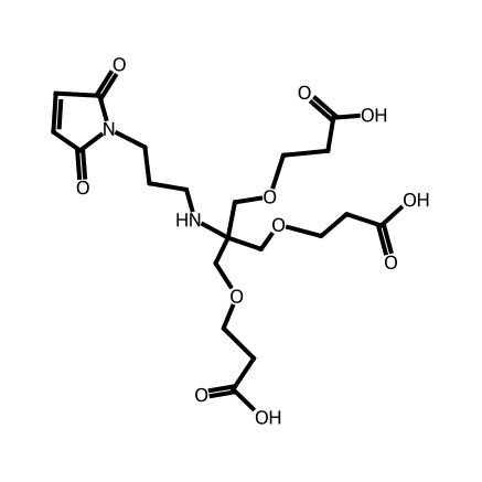 O=C(O)CCOCC(COCCC(=O)O)(COCCC(=O)O)NCCCN1C(=O)C=CC1=O